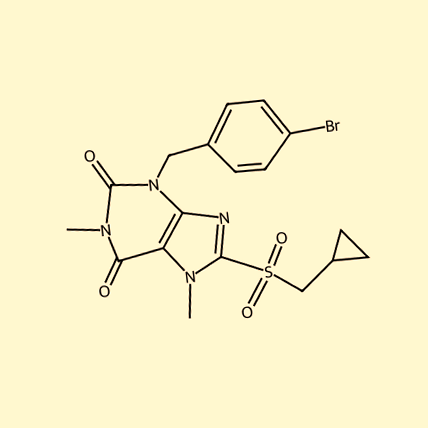 Cn1c(=O)c2c(nc(S(=O)(=O)CC3CC3)n2C)n(Cc2ccc(Br)cc2)c1=O